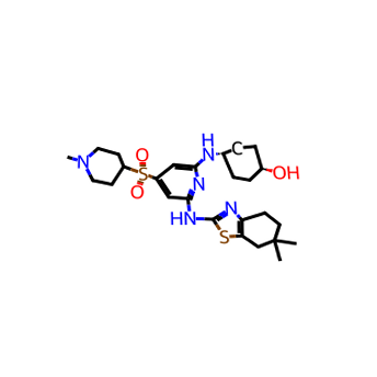 CN1CCC(S(=O)(=O)c2cc(Nc3nc4c(s3)CC(C)(C)CC4)nc(N[C@H]3CC[C@H](O)CC3)c2)CC1